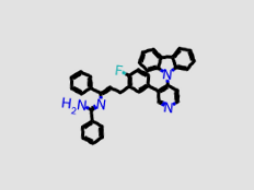 N/C(=N\C(=C/Cc1cc(-c2cnccc2-n2c3ccccc3c3ccccc32)ccc1F)c1ccccc1)c1ccccc1